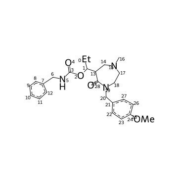 CCC(OC(=O)NCc1ccccc1)C1CN(C)CCN(Cc2ccc(OC)cc2)C1=O